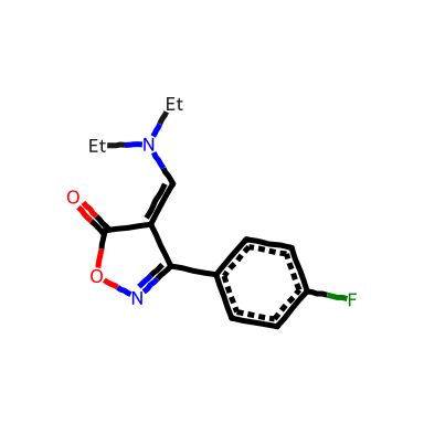 CCN(/C=C1\C(=O)ON=C1c1ccc(F)cc1)CC